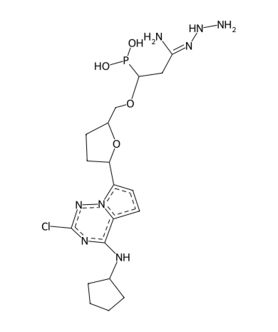 NN/N=C(\N)CC(OCC1CCC(c2ccc3c(NC4CCCC4)nc(Cl)nn23)O1)P(O)O